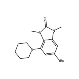 Cn1c(=O)n(C)c2c(N3CCCCC3)cc(C(C)(C)C)cc21